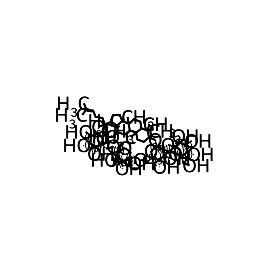 CC(=O)OC[C@H]1O[C@@H](OC2CCC3(C)C(CCC4(C)C3CC(O)C3C(C(C)(CCC=C(C)C)O[C@@H]5O[C@H](CO[C@@H]6OC[C@H](O)[C@H](O)[C@H]6O)[C@@H](O)[C@H](O)[C@H]5O)CCC34C)C2(C)C)[C@H](O[C@@H]2O[C@H](CO)[C@@H](O)[C@H](O)[C@H]2O)[C@@H](O)[C@@H]1O